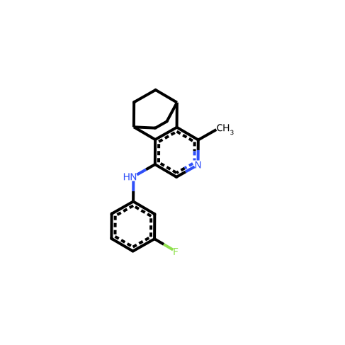 Cc1ncc(Nc2cccc(F)c2)c2c1C1CCC2CC1